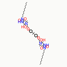 CCCCCCCCCCCCN1C(=O)NC2(CC(C)(C)N(CC(O)COc3ccc(C(C)(C)c4ccc(OCC(O)CN5C(C)(C)CC6(CC5(C)C)NC(=O)N(CCCCCCCCCCCC)C6=O)cc4)cc3)C(C)(C)C2)C1=O